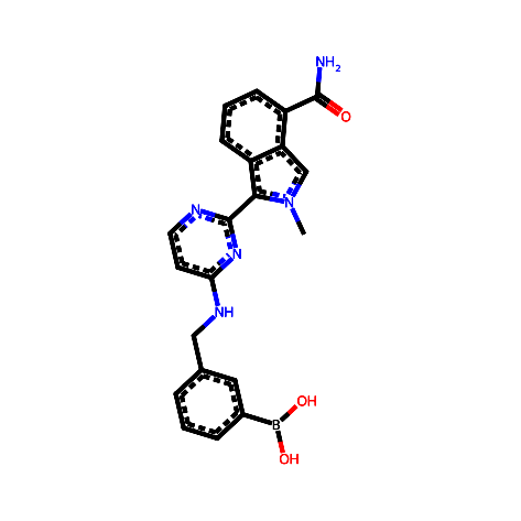 Cn1cc2c(C(N)=O)cccc2c1-c1nccc(NCc2cccc(B(O)O)c2)n1